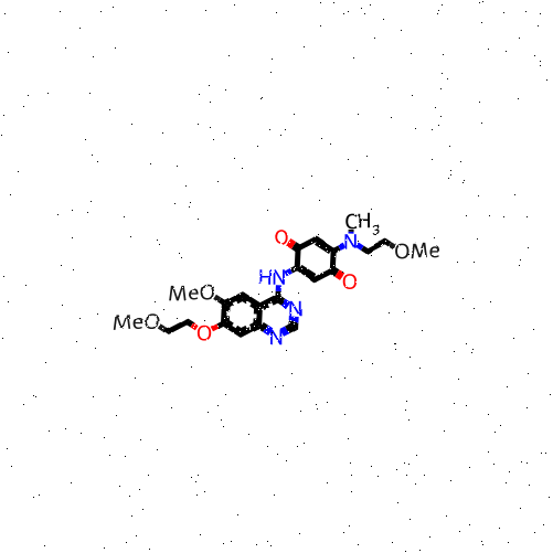 COCCOc1cc2ncnc(NC3=CC(=O)C(N(C)CCOC)=CC3=O)c2cc1OC